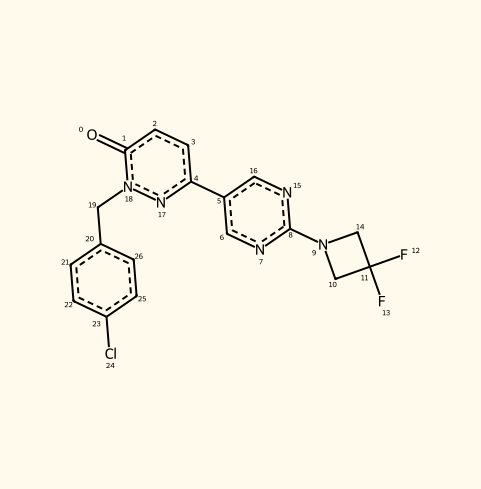 O=c1ccc(-c2cnc(N3CC(F)(F)C3)nc2)nn1Cc1ccc(Cl)cc1